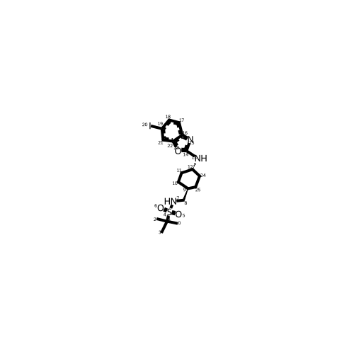 CC(C)(C)S(=O)(=O)NC[C@H]1CC[C@H](Nc2nc3ccc(I)cc3o2)CC1